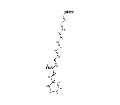 CCCCCCCCCC=CC=CC=CC=CC=CC=CC(=O)OCC1C=CCCC1